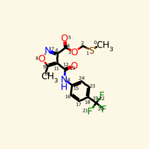 CSCOC(=O)c1noc(C)c1C(=O)Nc1ccc(C(F)(F)F)cc1